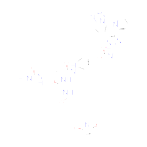 Cc1cccc(-c2nc(CN(C(=O)OCc3ccc(NC(=O)[C@H](CCCNC(N)=O)NC(=O)C(NC(=O)CCCCCN4C(=O)C=CC4=O)C(C)C)cc3)C3CCCCC3)[nH]c2-c2ccc3ncnn3c2)n1